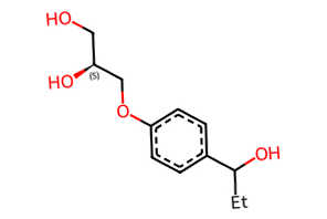 CCC(O)c1ccc(OC[C@@H](O)CO)cc1